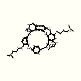 CN(C)CCCOc1ccc2cc1Oc1ccc(cc1)C[C@H]1c3c(cc(OCCCN(C)C)c4c3Oc3cc5c(cc3O4)CCN(C)[C@H]5C2)CCN1C